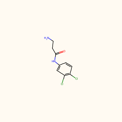 NCCC(=O)Nc1ccc(Cl)c(Cl)c1